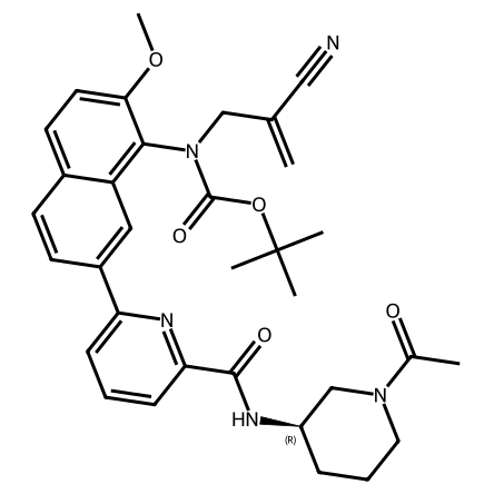 C=C(C#N)CN(C(=O)OC(C)(C)C)c1c(OC)ccc2ccc(-c3cccc(C(=O)N[C@@H]4CCCN(C(C)=O)C4)n3)cc12